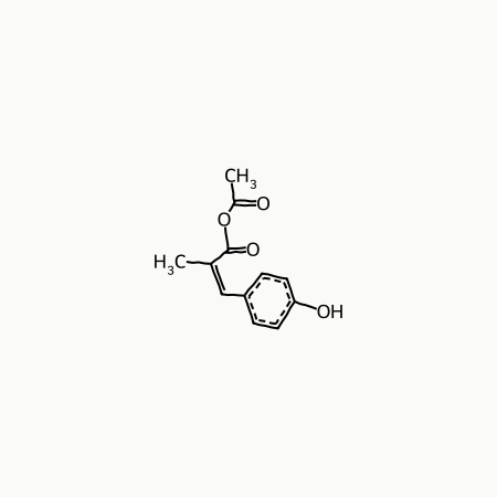 CC(=O)OC(=O)C(C)=Cc1ccc(O)cc1